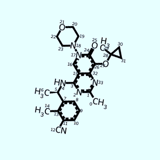 Cc1nc(N[C@H](C)c2cccc(C#N)c2C)c2cn(N3CCOCC3)c(=O)c(OC3(C)CC3)c2n1